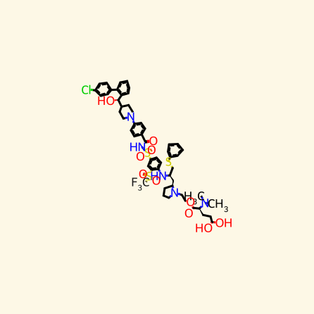 CN(C)[C@@H](CCC(O)O)C(=O)OCCN1CCC[C@H]1C[C@H](CSc1ccccc1)Nc1ccc(S(=O)(=O)NC(=O)c2ccc(N3CCC([C@@H](O)c4ccccc4-c4ccc(Cl)cc4)CC3)cc2)cc1S(=O)(=O)C(F)(F)F